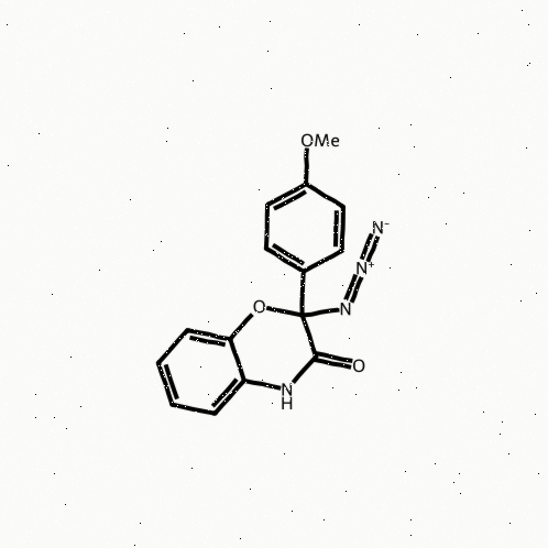 COc1ccc(C2(N=[N+]=[N-])Oc3ccccc3NC2=O)cc1